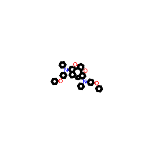 c1ccc(Oc2ccc(N(c3ccccc3)c3cc4oc5ccc6oc7cc(N(c8ccccc8)c8ccc(Oc9ccccc9)cc8)c8ccccc8c7c6c5c4c4ccccc34)cc2)cc1